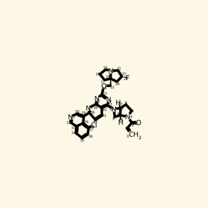 C=CC(=O)N1CC[C@@H]2[C@H]1CN2c1nc(OC[C@@]23CCCN2C[C@H](F)C3)nc2nc(-c3cncc4cccc(Cl)c34)ccc12